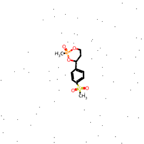 CP1(=O)OCCC(c2ccc(S(C)(=O)=O)cc2)O1